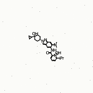 CC(C)c1cccc(C(=O)Nc2cc3cn([C@H]4CC[C@@](O)(C5CC5)CC4)nc3cc2N(C)C)[n+]1O